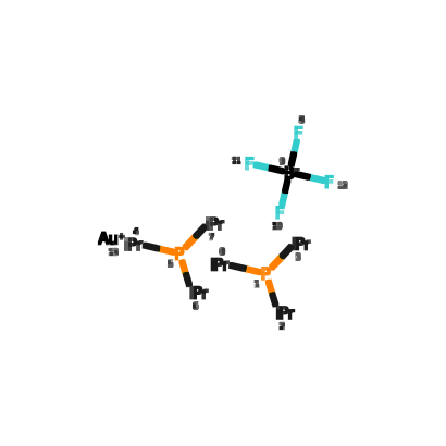 CC(C)P(C(C)C)C(C)C.CC(C)P(C(C)C)C(C)C.F[B-](F)(F)F.[Au+]